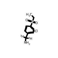 Cl.[2H]C([2H])(N)c1ccc(S(=O)(=O)CC)cc1